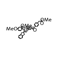 COC(=O)Cc1ccc(C(=O)NCC(O)CN(Cc2ccc(OC)cc2OC)C2Cc3ccccc3C2)cc1